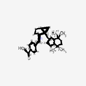 CC1(C)CCC(C)(C)c2cc(C34CC3CC/C4=C\c3ccc(C(=O)O)cc3)ccc21